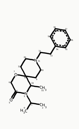 CC(C)N1C(=O)COC2(CCN(CCc3ccccc3)CC2)C1C